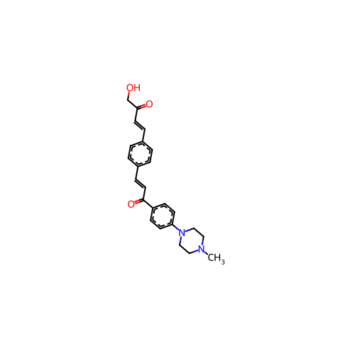 CN1CCN(c2ccc(C(=O)/C=C/c3ccc(/C=C/C(=O)CO)cc3)cc2)CC1